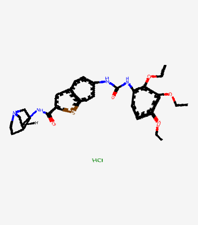 CCOc1ccc(NC(=O)Nc2ccc3cc(C(=O)N[C@H]4CN5CCC4CC5)sc3c2)c(OCC)c1OCC.Cl